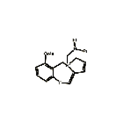 CCN(CC)C[N+]12CC=CC1=COc1cccc(OC)c1C2